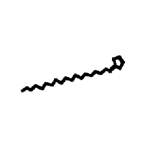 CCCCCCCCCCCCCCCCCCN=C1CC=CO1